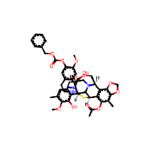 COc1cc2c(cc1OC(=O)OCc1ccccc1)CCN[C@]21CS[C@@H]2c3c(OC(C)=O)c(C)c4c(c3[C@H](COC1=O)N1C2[C@H]2c3c(cc(C)c(OC)c3O)C[C@H]([C@@H]1O)N2C)OCO4